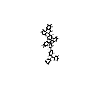 c1ccc(N(c2ccccc2)c2ccc(-c3ccc([Si](c4ccccc4)(c4ccccc4)c4ccc(-c5cc6ccccc6c6ccccc56)cc4)cc3)cc2)cc1